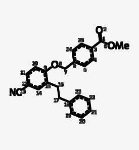 COC(=O)c1ccc(COc2ccc(C#N)cc2CCc2ccccc2)cc1